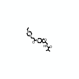 CCN1CCN(CCC(=O)N2CCC3(CC2)COC(CNC(=O)C(C)C)C3)CC1